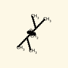 C=c1c2c(CCCCC(CCCCCCCCCCCC)CCCCCCCCCCCC)c3cccn3c(=O)c2c(CCCCC(CCCCCCCCCCCC)CCCCCCCCCCCC)c2cccn12